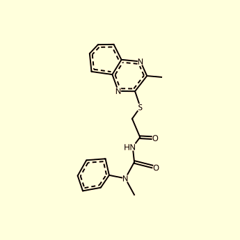 Cc1nc2ccccc2nc1SCC(=O)NC(=O)N(C)c1ccccc1